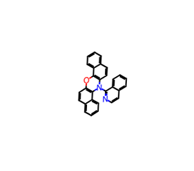 c1ccc2c(N3c4ccc5ccccc5c4Oc4ccc5ccccc5c43)nccc2c1